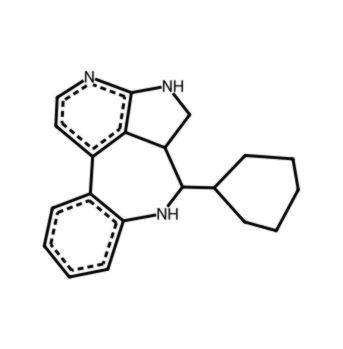 c1ccc2c(c1)NC(C1CCCCC1)C1CNc3nccc-2c31